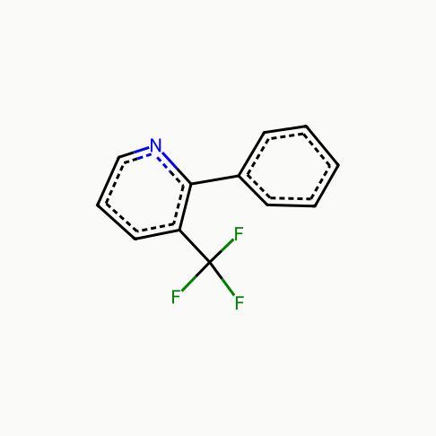 FC(F)(F)c1cccnc1-c1ccccc1